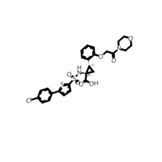 O=C(COc1ccccc1[C@@H]1C[C@]1(NS(=O)(=O)c1ccc(-c2ccc(Cl)cc2)s1)C(=O)O)N1CCOCC1